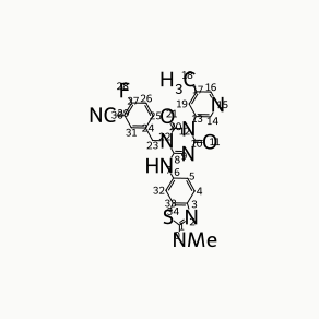 CNc1nc2ccc(Nc3nc(=O)n(-c4cncc(C)c4)c(=O)n3Cc3ccc(F)c(C#N)c3)cc2s1